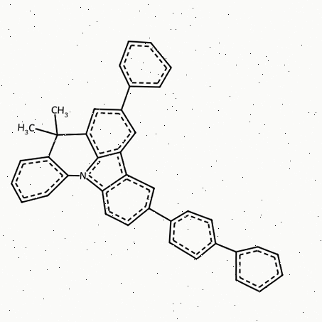 CC1(C)c2ccccc2-n2c3ccc(-c4ccc(-c5ccccc5)cc4)cc3c3cc(-c4ccccc4)cc1c32